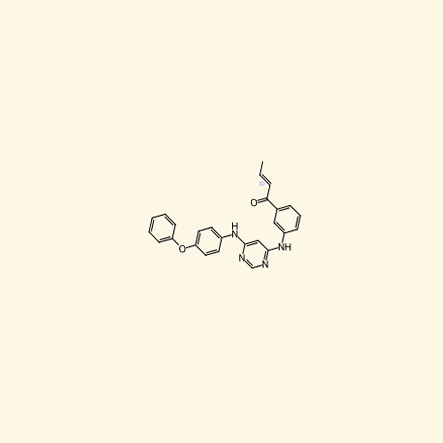 C/C=C/C(=O)c1cccc(Nc2cc(Nc3ccc(Oc4ccccc4)cc3)ncn2)c1